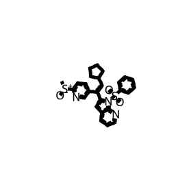 C[S+]([O-])c1ccc(C(=CC2CCCC2)c2cc3cccnc3n2S(=O)(=O)c2ccccc2)cn1